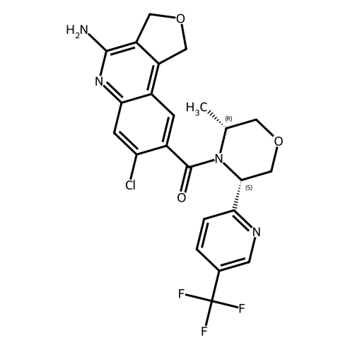 C[C@@H]1COC[C@H](c2ccc(C(F)(F)F)cn2)N1C(=O)c1cc2c3c(c(N)nc2cc1Cl)COC3